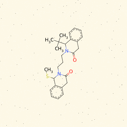 CSC1c2ccccc2CC(=O)N1CCCN1C(=O)Cc2ccccc2C1C(C)(C)C